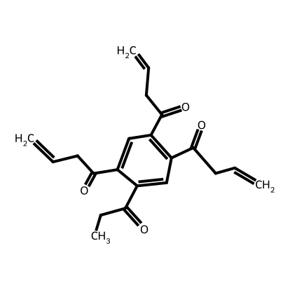 C=CCC(=O)c1cc(C(=O)CC=C)c(C(=O)CC=C)cc1C(=O)CC